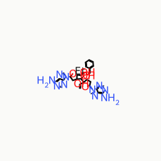 C=CC1(C(O)C2(O)CC(n3cnc4c(N)ncnc43)OC2(CC)CO)OC(n2cnc3c(N)ncnc32)CC1OCc1ccccc1